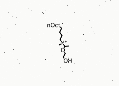 CCCCCCCCCCCC[N+](C)(C)C(C)OCCO